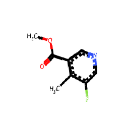 COC(=O)c1cncc(F)c1C